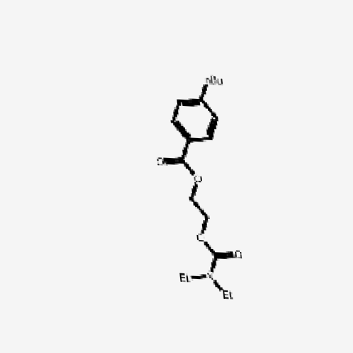 CCCCc1ccc(C(=O)OCCOC(=O)N(CC)CC)cc1